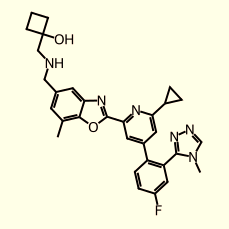 Cc1cc(CNCC2(O)CCC2)cc2nc(-c3cc(-c4ccc(F)cc4-c4nncn4C)cc(C4CC4)n3)oc12